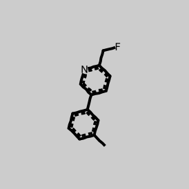 Cc1cccc(-c2ccc(CF)nc2)c1